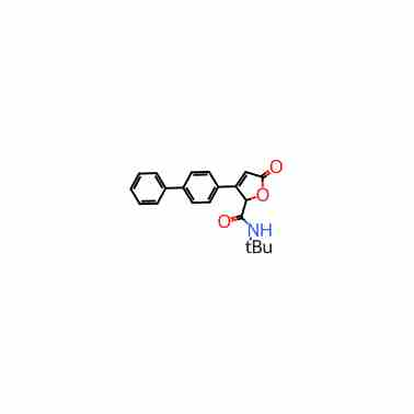 CC(C)(C)NC(=O)C1OC(=O)C=C1c1ccc(-c2ccccc2)cc1